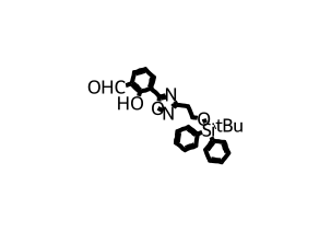 CC(C)(C)[Si](OCCc1noc(-c2cccc(C=O)c2O)n1)(c1ccccc1)c1ccccc1